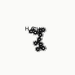 CC1(C)c2ccccc2-c2ccc(-n3c4cc(-c5ccc(N(C6=CCCC=C6)c6ccc7c8ccccc8n(-c8ccccc8)c7c6)cc5)ccc4c4c5ccccc5ccc43)cc21